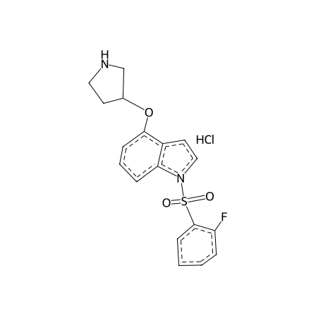 Cl.O=S(=O)(c1ccccc1F)n1ccc2c(OC3CCNC3)cccc21